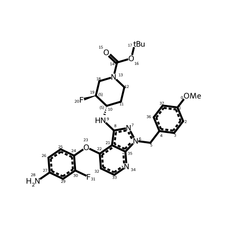 COc1ccc(Cn2nc(N[C@H]3CCN(C(=O)OC(C)(C)C)C[C@@H]3F)c3c(Oc4ccc(N)cc4F)ccnc32)cc1